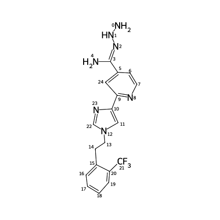 NN/N=C(\N)c1ccnc(-c2cn(CCc3ccccc3C(F)(F)F)cn2)c1